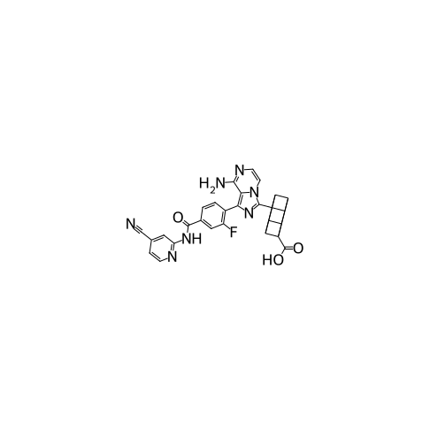 N#Cc1ccnc(NC(=O)c2ccc(-c3nc(C45C6C7C4C4C5C6C74C(=O)O)n4ccnc(N)c34)c(F)c2)c1